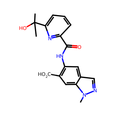 Cn1ncc2cc(NC(=O)c3cccc(C(C)(C)O)n3)c(C(=O)O)cc21